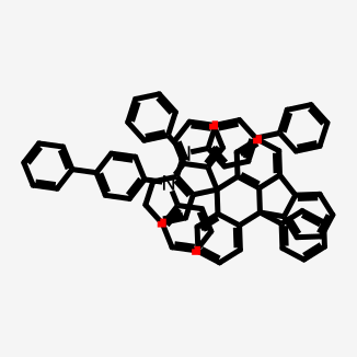 C1=CC(C2(c3ccccc3N(c3ccccc3)c3ccc(-c4ccccc4)cc3)c3ccccc3C3(c4ccccc4)c4ccccc4-c4cccc2c43)=C(N(c2ccccc2)c2ccc(-c3ccccc3)cc2)CC1